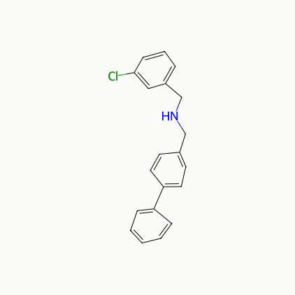 Clc1cccc(CNCc2ccc(-c3ccccc3)cc2)c1